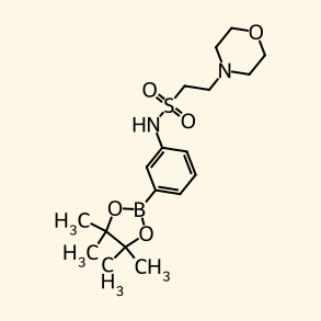 CC1(C)OB(c2cccc(NS(=O)(=O)CCN3CCOCC3)c2)OC1(C)C